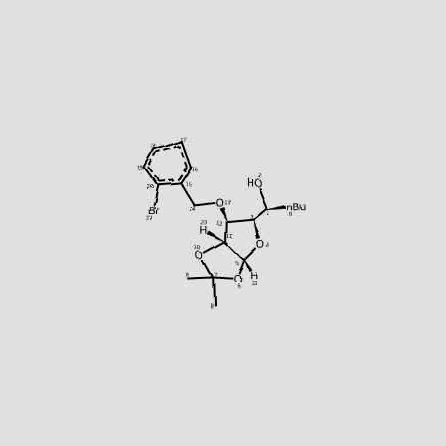 CCCC[C@H](O)[C@H]1O[C@@H]2OC(C)(C)O[C@@H]2[C@H]1OCc1ccccc1Br